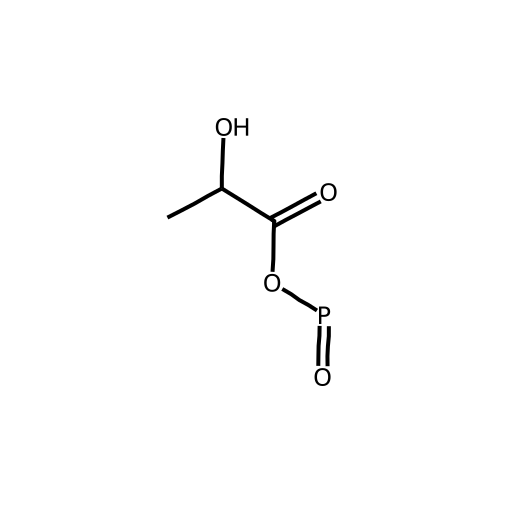 CC(O)C(=O)OP=O